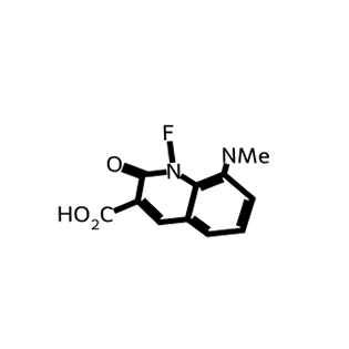 CNc1cccc2cc(C(=O)O)c(=O)n(F)c12